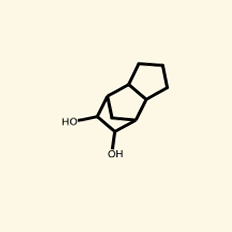 OC1C(O)C2CC1C1CCCC21